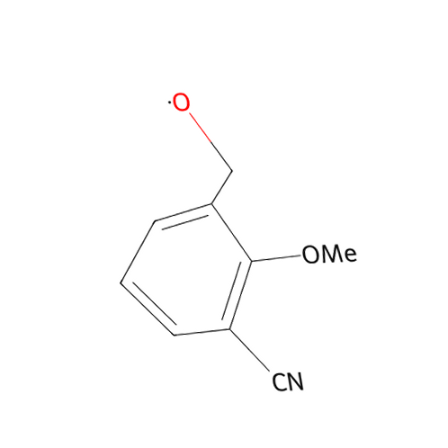 COc1c(C#N)cccc1C[O]